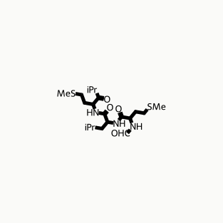 CSCCC(NC=O)C(=O)NC(CC(C)C)C(=O)NC(CCSC)C(=O)C(C)C